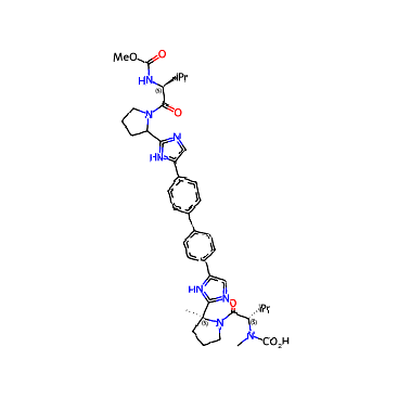 COC(=O)N[C@H](C(=O)N1CCCC1c1ncc(-c2ccc(-c3ccc(-c4cnc([C@]5(C)CCCN5C(=O)[C@H](C(C)C)N(C)C(=O)O)[nH]4)cc3)cc2)[nH]1)C(C)C